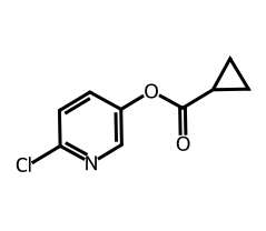 O=C(Oc1ccc(Cl)nc1)C1CC1